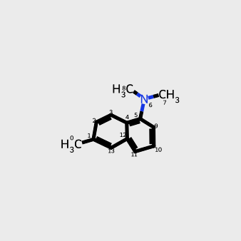 Cc1ccc2c(N(C)C)cccc2c1